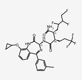 Cc1cccc(C2=N[C@H](NC(=O)[C@H](CCC(F)(F)F)[C@H](CC(F)C(F)CF)C(N)=O)C(=O)Nc3c(OC4CC4)cccc32)c1